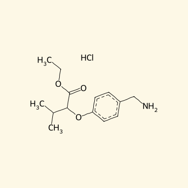 CCOC(=O)C(Oc1ccc(CN)cc1)C(C)C.Cl